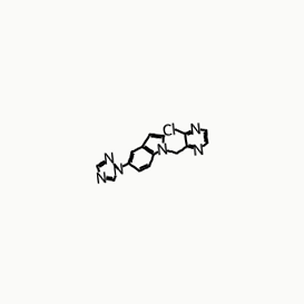 Clc1nccnc1Cn1ccc2cc(-n3cncn3)ccc21